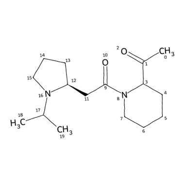 CC(=O)C1CCCCN1C(=O)C[C@@H]1CCCN1C(C)C